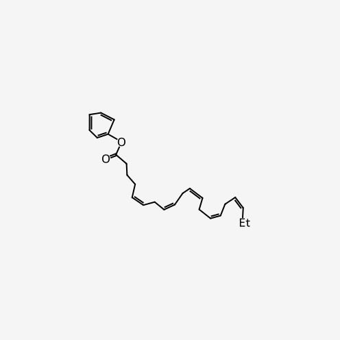 CC/C=C\C/C=C\C/C=C\C/C=C\C/C=C\CCCC(=O)Oc1ccccc1